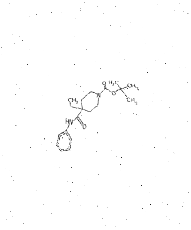 CCC1(C(=O)Nc2ccccc2)CCN(C(=O)OC(C)(C)C)CC1